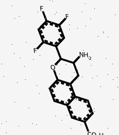 NC1Cc2c(ccc3cc(C(=O)O)ccc23)OC1c1cc(F)c(F)cc1F